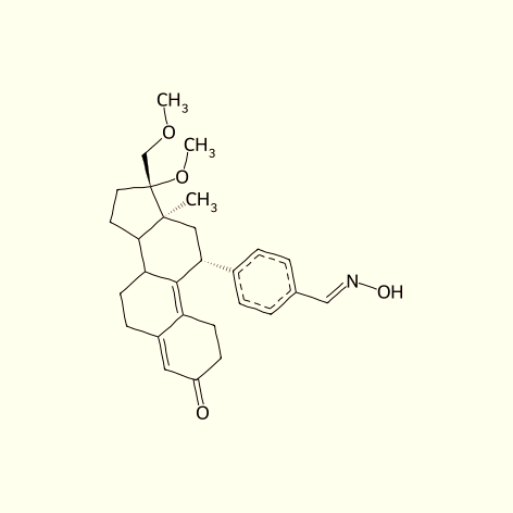 COC[C@]1(OC)CCC2C3CCC4=CC(=O)CCC4=C3[C@@H](c3ccc(/C=N/O)cc3)C[C@@]21C